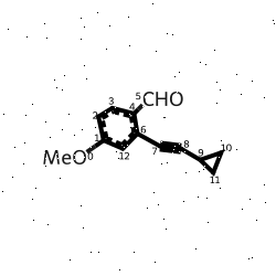 COc1ccc(C=O)c(C#CC2CC2)c1